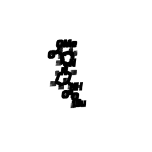 COC(=O)c1ccnc(N2CCC[C@H](NC(=O)OC(C)(C)C)C2)c1